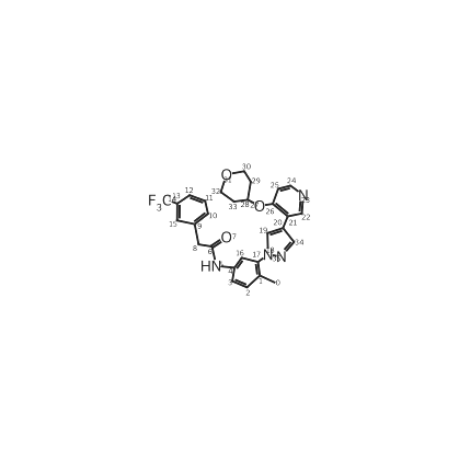 Cc1ccc(NC(=O)Cc2cccc(C(F)(F)F)c2)cc1-n1cc(-c2cnccc2OC2CCOCC2)cn1